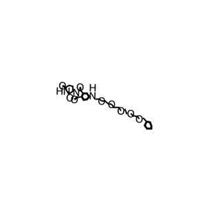 O=C1CCC(N2C(=O)c3ccc(NCCOCCOCCOCCOCCOCc4ccccc4)cc3C2=O)C(=O)N1